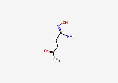 CC(=O)CC/C(N)=N/O